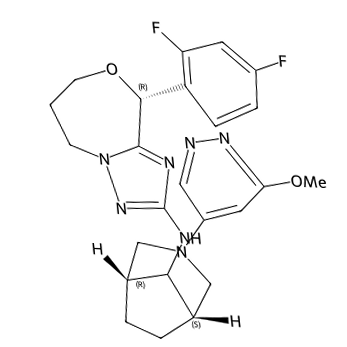 COc1cc(N2C[C@H]3CC[C@@H](C2)C3Nc2nc3n(n2)CCCO[C@@H]3c2ccc(F)cc2F)cnn1